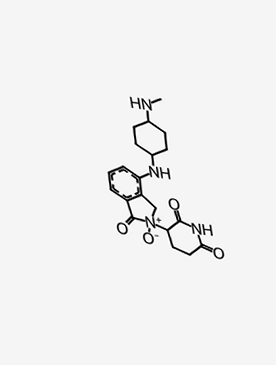 CNC1CCC(Nc2cccc3c2C[N+]([O-])(C2CCC(=O)NC2=O)C3=O)CC1